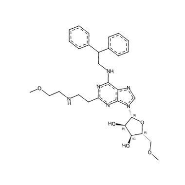 COCCNCCc1nc(NCC(c2ccccc2)c2ccccc2)c2ncn([C@@H]3O[C@H](COC)[C@@H](O)[C@H]3O)c2n1